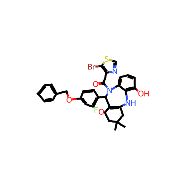 CC1(C)CC(=O)C2=C(C1)Nc1c(O)cccc1N(C(=O)c1ncsc1Br)C2c1ccc(OCc2ccccc2)cc1F